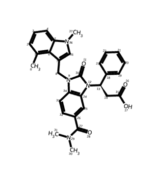 Cc1cccc2c1c(Cn1c(=O)n([C@H](CC(=O)O)c3ccccc3)c3cc(C(=O)N(C)C)ccc31)cn2C